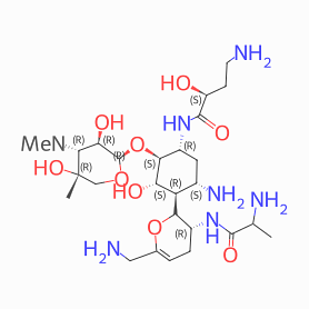 CN[C@@H]1[C@@H](O)[C@@H](O[C@@H]2[C@@H](O)[C@H](C3OC(CN)=CC[C@H]3NC(=O)C(C)N)[C@@H](N)C[C@H]2NC(=O)[C@@H](O)CCN)OC[C@]1(C)O